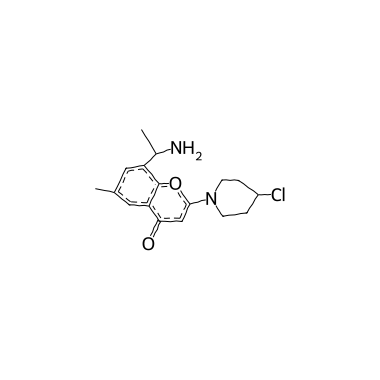 Cc1cc(C(C)N)c2oc(N3CCC(Cl)CC3)cc(=O)c2c1